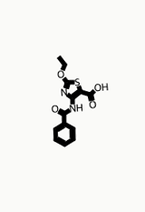 CCOc1nc(NC(=O)c2ccccc2)c(C(=O)O)s1